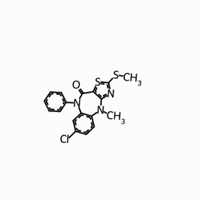 CSc1nc2c(s1)C(=O)N(c1ccccc1)c1cc(Cl)ccc1N2C